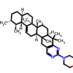 C[C@@H]1[C@H]2C3=CC[C@@H]4[C@@]5(C)Cc6cnc(N7CCOCC7)nc6C(C)(C)[C@@H]5CC[C@@]4(C)[C@]3(C)CC[C@@H]2CC[C@H]1C